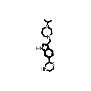 CC(C)N1CCCN(Cc2c[nH]c3cc(C4CNCCS4)ccc23)CC1